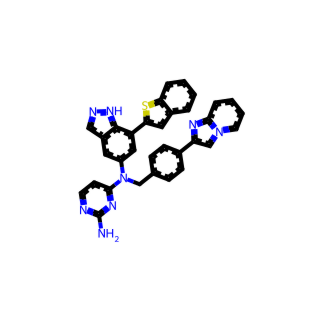 Nc1nccc(N(Cc2ccc(-c3cn4ccccc4n3)cc2)c2cc(-c3cc4ccccc4s3)c3[nH]ncc3c2)n1